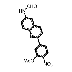 COc1cc(-c2ccc3cc(NC=O)ccc3n2)ccc1[N+](=O)[O-]